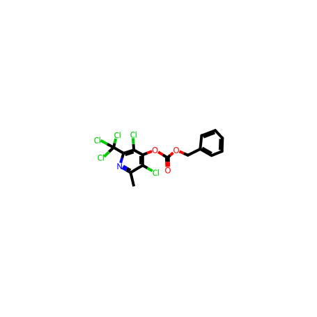 Cc1nc(C(Cl)(Cl)Cl)c(Cl)c(OC(=O)OCc2ccccc2)c1Cl